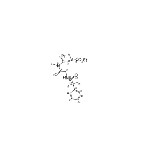 CCOC(=O)/C(C)=C/[C@H](C(C)C)N(C)C(=O)CNC(=O)C(C)(C)c1ccccc1